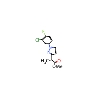 COC(=O)C(C)c1ccn(-c2ccc(F)c(Cl)c2)n1